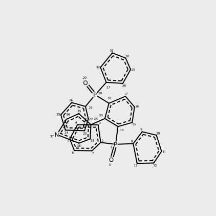 O=P(c1ccccc1)(c1ccccc1)c1cccc(P(=O)(c2ccccc2)c2ccccc2)c1-c1ccncc1